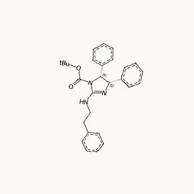 CC(C)(C)OC(=O)N1C(NCCc2ccccc2)=N[C@@H](c2ccccc2)[C@H]1c1ccccc1